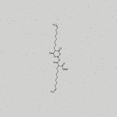 C=CCCCCCCCC(C(=O)OC)C(=O)OB1OC(=O)C(CCCCCCCC=C)C(=O)O1